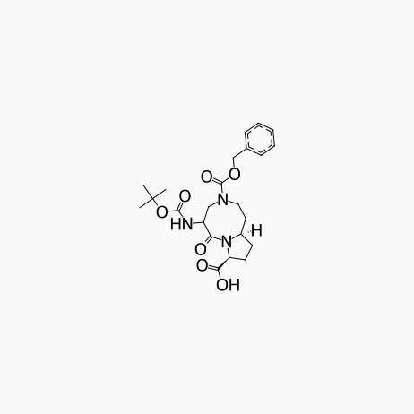 CC(C)(C)OC(=O)NC1CN(C(=O)OCc2ccccc2)CC[C@H]2CC[C@@H](C(=O)O)N2C1=O